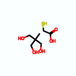 CC(CO)(CO)CO.O=C(O)CS